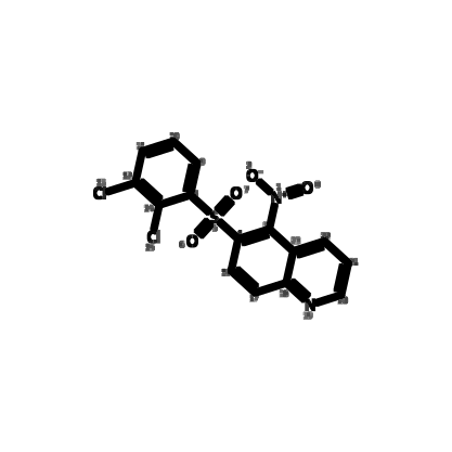 O=[N+]([O-])c1c(S(=O)(=O)c2cccc(Cl)c2Cl)ccc2ncccc12